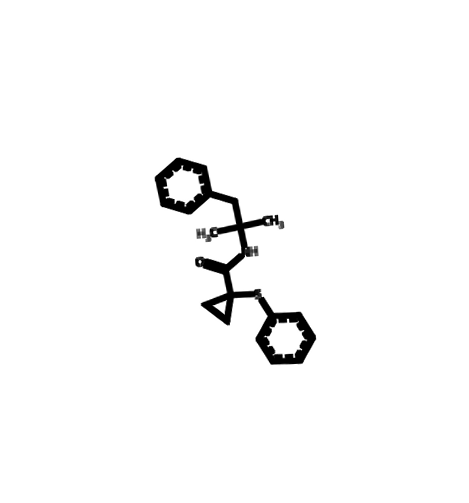 CC(C)(Cc1ccccc1)NC(=O)C1(Sc2ccccc2)CC1